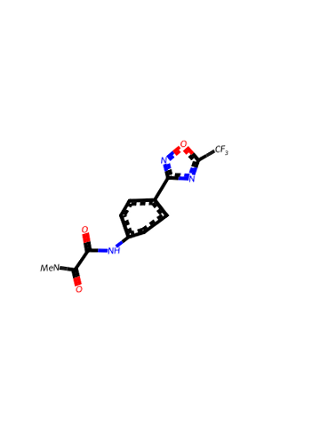 CNC(=O)C(=O)Nc1ccc(-c2noc(C(F)(F)F)n2)cc1